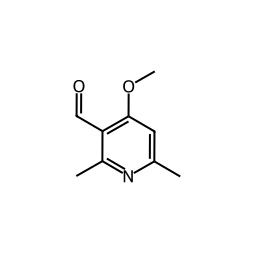 COc1cc(C)nc(C)c1C=O